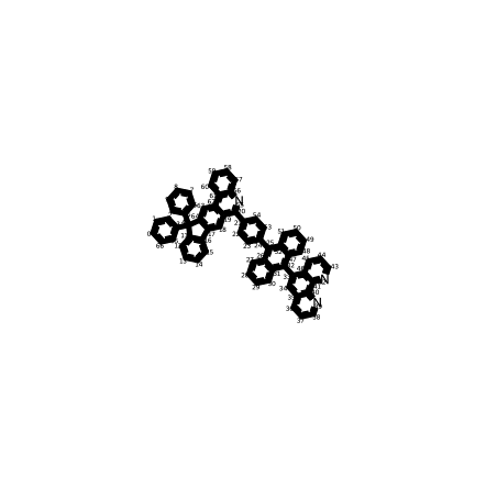 c1ccc(C2(c3ccccc3)c3ccccc3-c3cc4c(-c5ccc(-c6c7ccccc7c(-c7cc8cccnc8c8ncccc78)c7ccccc67)cc5)nc5ccccc5c4cc32)cc1